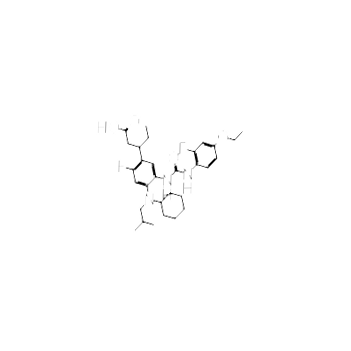 CCOc1ccc(NC(=O)Nc2cc(C(CC)CC(=O)O)c(F)cc2N(CC(C)C)C2CCCCC2)c(F)c1